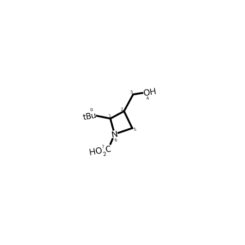 CC(C)(C)C1C(CO)CN1C(=O)O